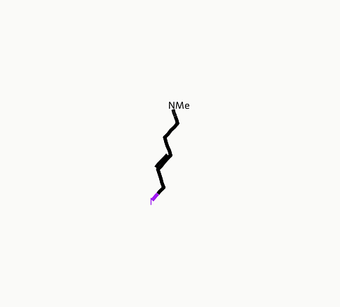 CNCC/C=C/CI